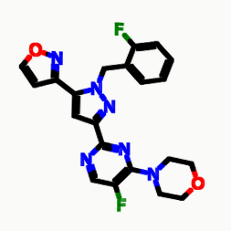 Fc1ccccc1Cn1nc(-c2ncc(F)c(N3CCOCC3)n2)cc1-c1ccon1